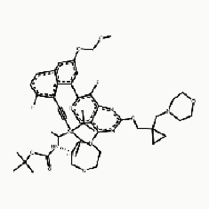 COCOc1cc(-c2ncc3c(N4CCOC[C@H](NC(=O)OC(C)(C)C)C4)nc(OCC4(CN5CCOCC5)CC4)nc3c2F)c2c(C#C[Si](C(C)C)(C(C)C)C(C)C)c(F)ccc2c1